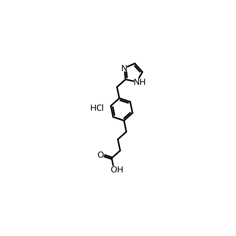 Cl.O=C(O)CCCc1ccc(Cc2ncc[nH]2)cc1